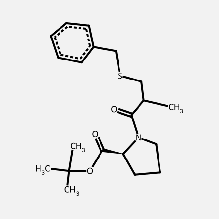 CC(CSCc1ccccc1)C(=O)N1CCC[C@H]1C(=O)OC(C)(C)C